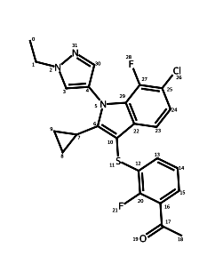 CCn1cc(-n2c(C3CC3)c(Sc3cccc(C(C)=O)c3F)c3ccc(Cl)c(F)c32)cn1